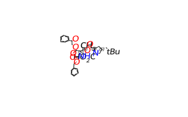 C[C@H](OC(=O)[C@@H]1C[C@H](CC(C)(C)C)CN1C(=O)O)[C@H](NC(=O)OCc1ccccc1)C(=O)OCC(=O)c1ccccc1